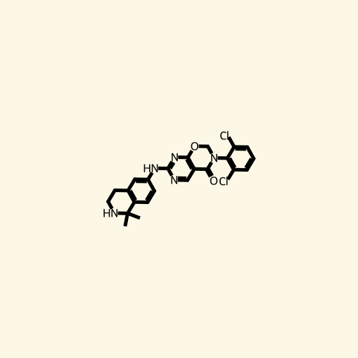 CC1(C)NCCc2cc(Nc3ncc4c(n3)OCN(c3c(Cl)cccc3Cl)C4=O)ccc21